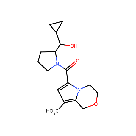 O=C(O)c1cc(C(=O)N2CCCC2C(O)C2CC2)n2c1COCC2